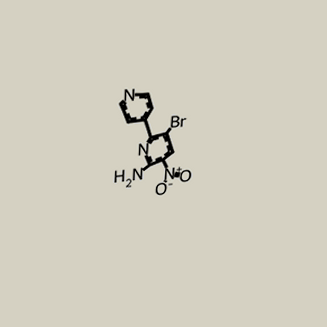 Nc1nc(-c2ccncc2)c(Br)cc1[N+](=O)[O-]